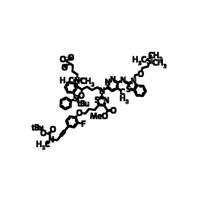 COC(=O)c1nc(N(CCCC(C[N+](C)(C)CCCS(=O)(=O)[O-])O[Si](c2ccccc2)(c2ccccc2)C(C)(C)C)c2cc(C)c(/N=c3\sc4ccccc4n3COCC[Si](C)(C)C)nn2)sc1CCCOc1ccc(C#CCN(C)C(=O)OC(C)(C)C)cc1F